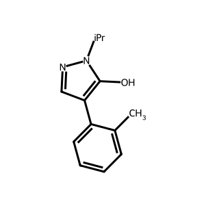 Cc1ccccc1-c1cnn(C(C)C)c1O